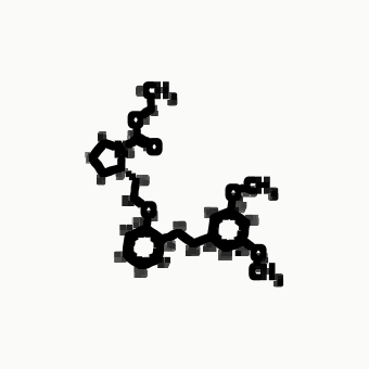 CCOC(=O)N1CCC[C@H]1CCOc1ccccc1CCc1cc(OC)cc(OC)c1